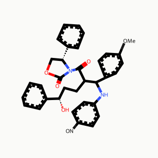 COc1ccc(C(Nc2ccc(N=O)cc2)C(CC[C@H](O)c2ccccc2)C(=O)N2C(=O)OC[C@@H]2c2ccccc2)cc1